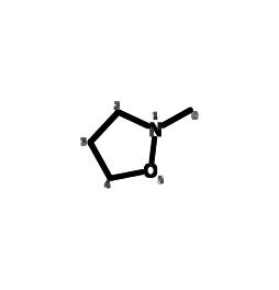 CN1CCCO1